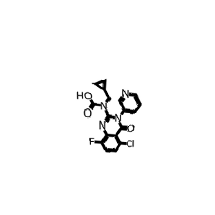 O=C(O)N(CC1CC1)c1nc2c(F)ccc(Cl)c2c(=O)n1-c1cccnc1